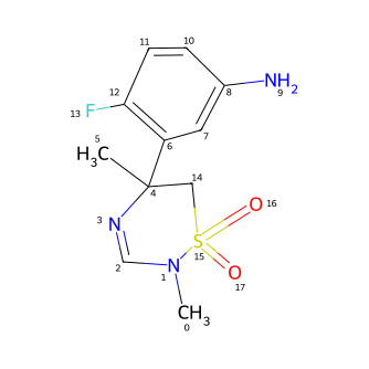 CN1C=NC(C)(c2cc(N)ccc2F)CS1(=O)=O